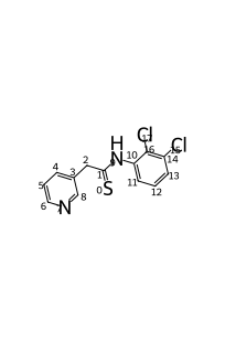 S=C(Cc1cccnc1)Nc1cccc(Cl)c1Cl